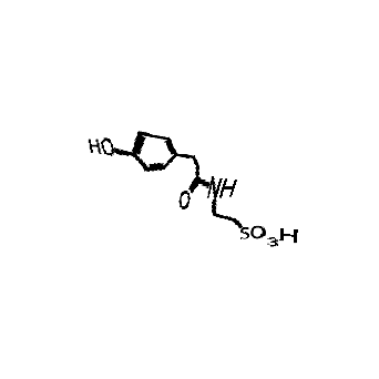 O=C(Cc1ccc(O)cc1)NCCS(=O)(=O)O